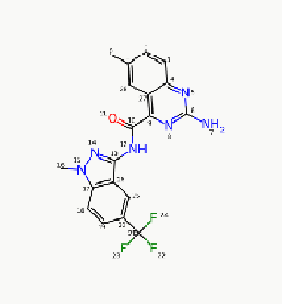 Cc1ccc2nc(N)nc(C(=O)Nc3nn(C)c4ccc(C(F)(F)F)cc34)c2c1